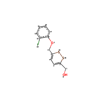 OCC1=CC=C(COc2ccccc2F)SS1